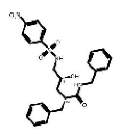 O=C(NCc1ccccc1)[C@@H](Cc1ccccc1)C[C@H](O)CNS(=O)(=O)c1ccc([N+](=O)[O-])cc1